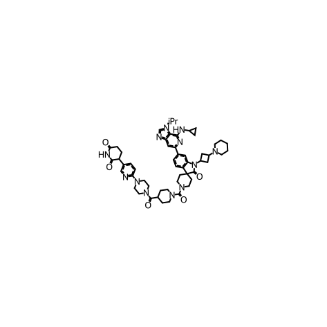 CC(C)n1cnc2cc(-c3ccc4c(c3)N(C3CC(N5CCCCC5)C3)C(=O)C43CCN(C(=O)N4CCC(C(=O)N5CCN(c6ccc(C7CCC(=O)NC7=O)cn6)CC5)CC4)CC3)nc(NC3CC3)c21